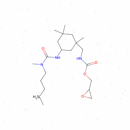 C[SiH2]CCCN(C)C(=O)NC1CC(C)(C)CC(C)(CNC(=O)OCC2CO2)C1